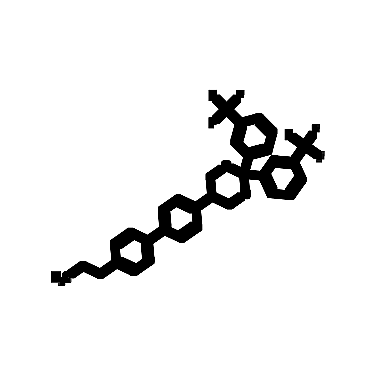 CCCc1ccc(-c2ccc(C3COC(c4cccc(C(F)(F)F)c4)(c4cccc(C(F)(F)F)c4)OC3)cc2)cc1